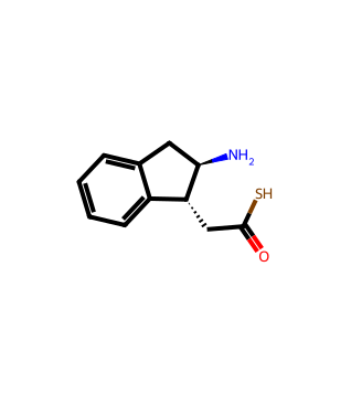 N[C@@H]1Cc2ccccc2[C@H]1CC(=O)S